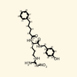 N/C(=N/[N+](=O)[O-])NCCC[C@@H](NC(=O)CCCCc1ccccc1)C(=O)NCc1ccc(O)cc1